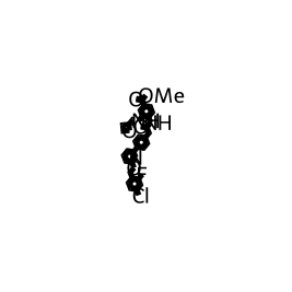 COC(=O)c1ccc(NC(=O)Cc2ccc(-c3cccc(OCc4ccc(Cl)cc4F)n3)cc2)c(NCC2CCO2)c1